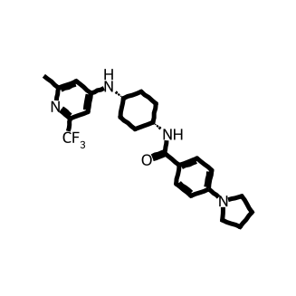 Cc1cc(N[C@H]2CC[C@@H](NC(=O)c3ccc(N4CCCC4)cc3)CC2)cc(C(F)(F)F)n1